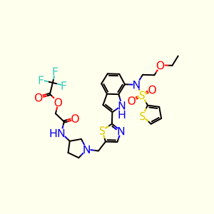 CCOCCN(c1cccc2cc(-c3ncc(CN4CCC(NC(=O)COC(=O)C(F)(F)F)C4)s3)[nH]c12)S(=O)(=O)c1cccs1